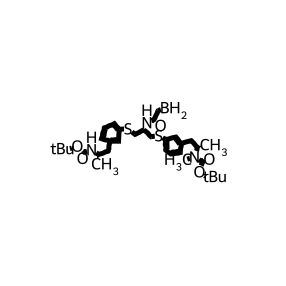 BCC(=O)NC(CSc1cccc(C[C@H](C)NC(=O)OC(C)(C)C)c1)CSc1cccc(C[C@H](C)N(C)C(=O)OC(C)(C)C)c1